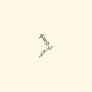 [B+]=O.[F-].[F-].[Li+]